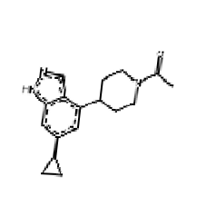 CC(=O)N1CCC(c2cc(C3CC3)cc3[nH]ncc23)CC1